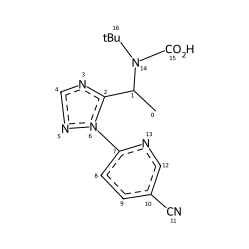 CC(c1ncnn1-c1ccc(C#N)cn1)N(C(=O)O)C(C)(C)C